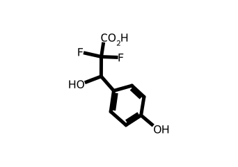 O=C(O)C(F)(F)C(O)c1ccc(O)cc1